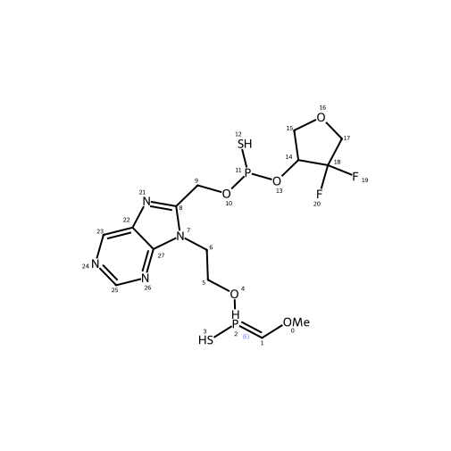 CO/C=[PH](/S)OCCn1c(COP(S)OC2COCC2(F)F)nc2cncnc21